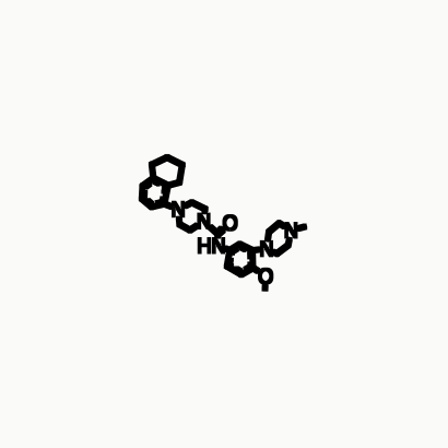 COc1ccc(NC(=O)N2CCN(c3cccc4c3CCCC4)CC2)cc1N1CCN(C)CC1